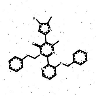 Cc1nc(-c2ncccc2OCc2ccccc2)n(CCc2ccccc2)c(=O)c1-c1cc(Br)c(C)s1